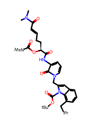 CNC(=O)O[C@@H](CC/C=C/C(=O)N(C)C)C(=O)Nc1cccn(Cc2cc3cccc(CC(C)C)c3n2C(=O)OC(C)(C)C)c1=O